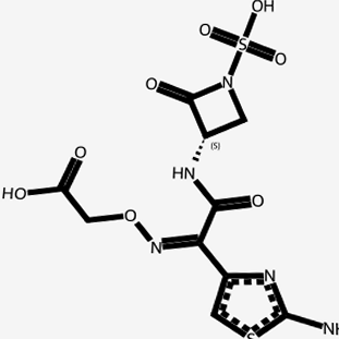 Nc1nc(C(=NOCC(=O)O)C(=O)N[C@H]2CN(S(=O)(=O)O)C2=O)cs1